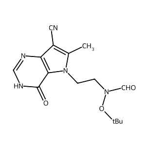 Cc1c(C#N)c2nc[nH]c(=O)c2n1CCN(C=O)OC(C)(C)C